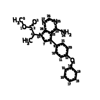 COS(=O)C(C)n1cc(-c2ccc(Oc3ccccc3)cc2)c2c(N)ncnc21